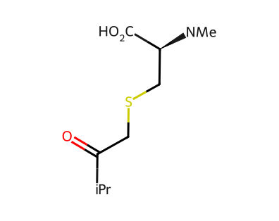 CN[C@@H](CSCC(=O)C(C)C)C(=O)O